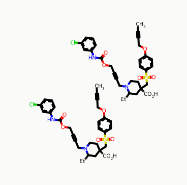 CC#CCOc1ccc(S(=O)(=O)CC2(C(=O)O)CCN(CC#CCOC(=O)Nc3cccc(Cl)c3)C(CC)C2)cc1.CC#CCOc1ccc(S(=O)(=O)CC2(C(=O)O)CCN(CC#CCOC(=O)Nc3cccc(Cl)c3)C(CC)C2)cc1